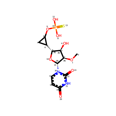 CO[C@@H]1[C@H](O)[C@@H](C2CC2OP(O)(O)=S)O[C@H]1n1ccc(=O)[nH]c1=O